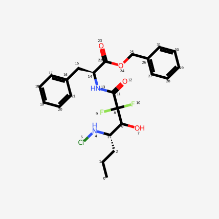 CCC[C@H](NCl)C(O)C(F)(F)C(=O)N[C@@H](Cc1ccccc1)C(=O)OCc1ccccc1